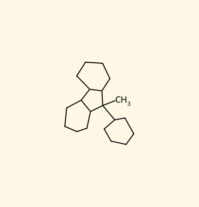 CC1(C2CCCCC2)C2CCCCC2C2CCCCC21